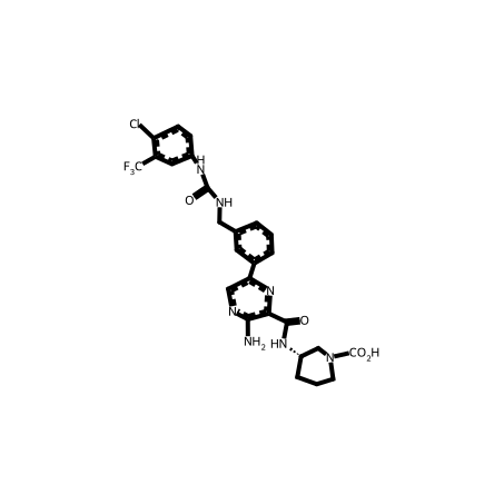 Nc1ncc(-c2cccc(CNC(=O)Nc3ccc(Cl)c(C(F)(F)F)c3)c2)nc1C(=O)N[C@H]1CCCN(C(=O)O)C1